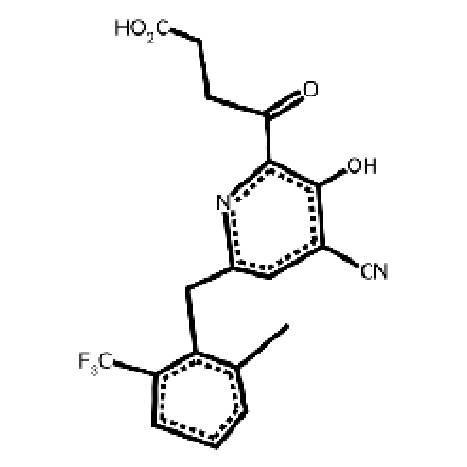 Cc1cccc(C(F)(F)F)c1Cc1cc(C#N)c(O)c(C(=O)CCC(=O)O)n1